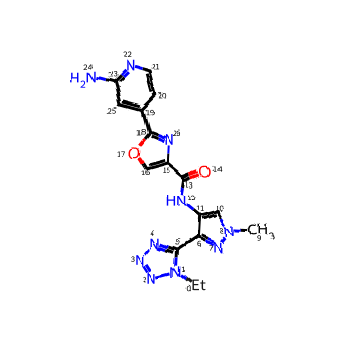 CCn1nnnc1-c1nn(C)cc1NC(=O)c1coc(-c2ccnc(N)c2)n1